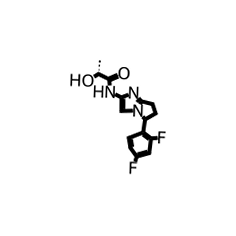 C[C@@H](O)C(=O)Nc1cn2c(n1)CCC2c1ccc(F)cc1F